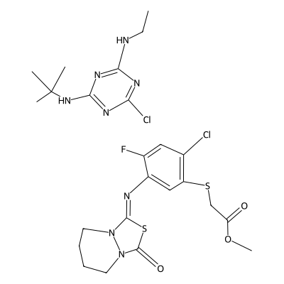 CCNc1nc(Cl)nc(NC(C)(C)C)n1.COC(=O)CSc1cc(/N=c2\sc(=O)n3n2CCCC3)c(F)cc1Cl